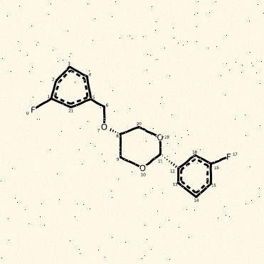 Fc1cccc(CO[C@H]2CO[C@@H](c3cccc(F)c3)OC2)c1